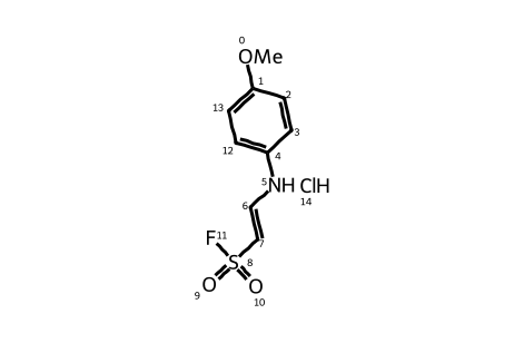 COc1ccc(NC=CS(=O)(=O)F)cc1.Cl